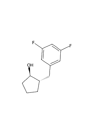 O[C@@H]1CCC[C@H]1Cc1cc(F)cc(F)c1